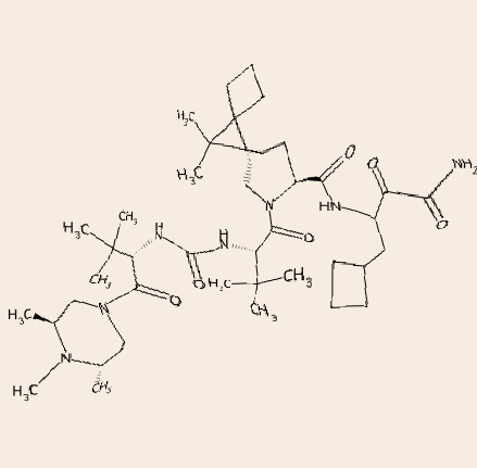 C[C@H]1CN(C(=O)[C@@H](NC(=O)N[C@H](C(=O)N2C[C@]3(C[C@H]2C(=O)NC(CC2CCC2)C(=O)C(N)=O)C(C)(C)C32CCC2)C(C)(C)C)C(C)(C)C)C[C@H](C)N1C